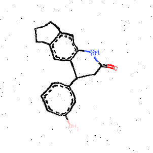 Bc1cccc(C2CC(=O)Nc3cc4c(cc32)CCC4)c1